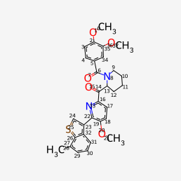 COc1ccc(C(=O)N2CCCCC2C(=O)c2ccc(OC)c(-c3csc4c(C)cccc34)n2)cc1OC